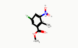 COC(=O)c1cc(F)cc([N+](=O)[O-])c1C